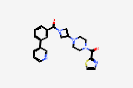 O=C(c1cccc(-c2cccnc2)c1)N1CC(N2CCN(C(=O)c3nccs3)CC2)C1